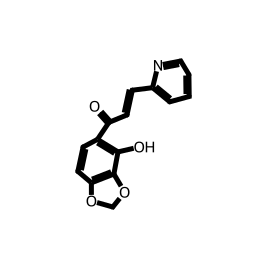 O=C(C=Cc1ccccn1)c1ccc2c(c1O)OCO2